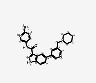 Nc1ncc(NC(=O)c2n[nH]c3ccc(-c4cncc(CN5CCCCC5)c4)cc23)cn1